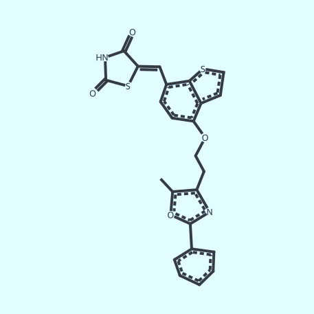 Cc1oc(-c2ccccc2)nc1CCOc1ccc(/C=C2\SC(=O)NC2=O)c2sccc12